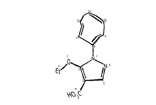 CCOc1c(C(=O)O)cnn1-c1ccccc1